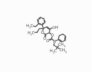 CCCC1(c2ccccc2CC)C=C(O)C(OC(=O)N(CC(C)(C)C)C2=CC=CCC2)C(=O)O1